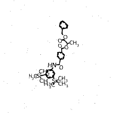 CC(OC(=O)c1ccc(C(=O)Nc2cc([Si](C)(C)C)cc([Si](C)(C)C)c2)cc1)C(=O)OCc1ccccc1